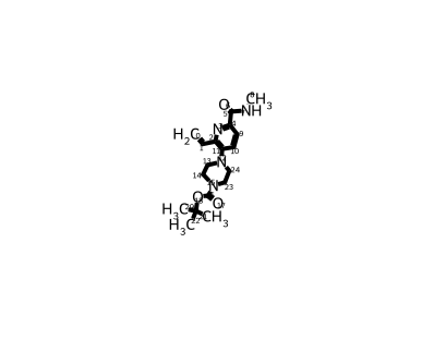 C=Cc1nc(C(=O)NC)ccc1N1CCN(C(=O)OC(C)(C)C)CC1